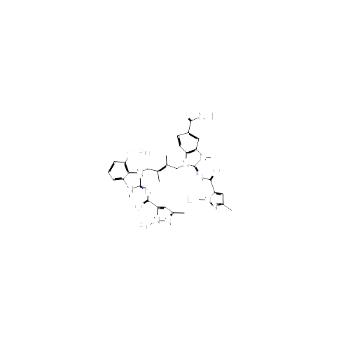 CCn1nc(C)cc1C(=O)/N=c1\n(C)c2cc(C(N)=O)ccc2n1C/C(C)=C(\C)Cn1/c(=N/C(=O)c2cc(C)nn2CC)n(C)c2cccc(OCC(C)C)c21